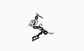 COc1ccc2c(c1)c(/C=C1\Oc3ccc(NC(=O)Nc4ccc(C(=O)N(C)CCN(C)C)cc4)cc3C1=O)c(C)n2CCN1CCN(C)CC1